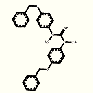 CN(C(=N)N(C)c1ccc(OCc2ccccc2)cc1)c1ccc(OCc2ccccc2)cc1